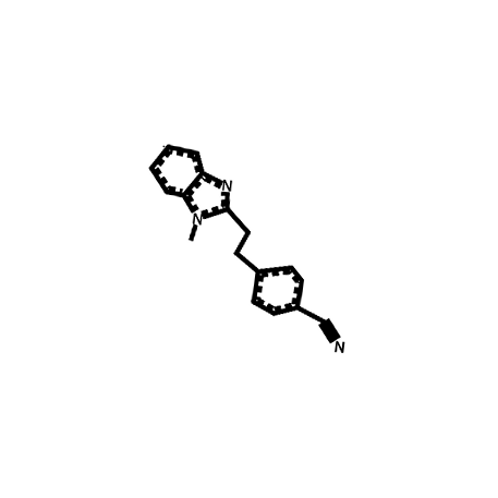 Cn1c(CCc2ccc(C#N)cc2)nc2c[c]ccc21